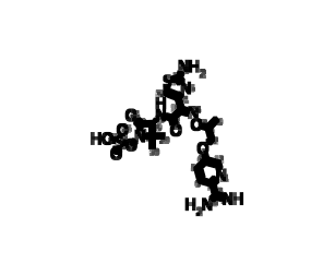 CC(COc1ccc(C(=N)N)nc1)O/N=C(\C(=O)N[C@@H]1C(=O)N(OS(=O)(=O)O)C1(C)C)c1csc(N)n1